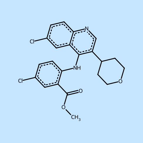 COC(=O)c1cc(Cl)ccc1Nc1c(C2CCOCC2)cnc2ccc(Cl)cc12